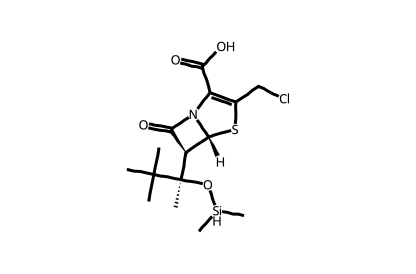 C[SiH](C)O[C@](C)([C@H]1C(=O)N2C(C(=O)O)=C(CCl)S[C@H]12)C(C)(C)C